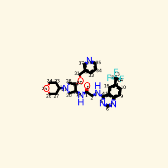 O=C(CNc1ncnc2ccc(C(F)(F)F)cc12)NC1CN(C2CCOCC2)C[C@@H]1OCc1cccnc1